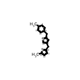 Cc1ccc(Cc2cc(Cc3ccc(C)s3)cs2)cc1